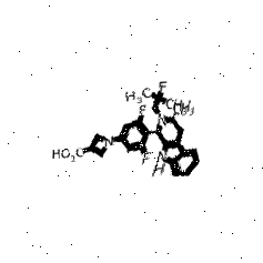 C[C@@H]1Cc2c([nH]c3ccccc23)[C@@H](c2c(F)cc(N3CC(C(=O)O)C3)cc2F)N1CC(C)(C)F